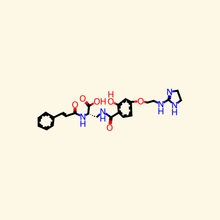 O=C(C=Cc1ccccc1)N[C@@H](CNC(=O)c1ccc(OCCNC2=NCCN2)cc1O)C(=O)O